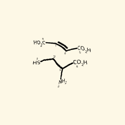 NC(CS)C(=O)O.O=C(O)C=CC(=O)O